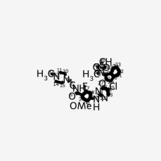 COc1cc(C(=O)NCCN2CCN(C)CC2)c(F)cc1Nc1ncc(Cl)c(O[C@@H]2Cc3ccccc3[C@H]2N(C)S(C)(=O)=O)n1